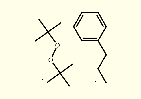 CC(C)(C)OOC(C)(C)C.CCCc1ccccc1